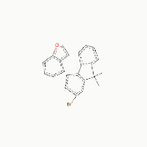 CC1(C)c2ccccc2-c2ccc(Br)cc21.c1ccc2occc2c1